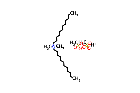 CCCCCCCCCCCC[N+](C)(C)CCCCCCCCCCCC.CS(=O)(=O)[O-].CS(=O)(=O)[O-].[H+]